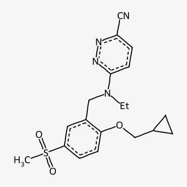 CCN(Cc1cc(S(C)(=O)=O)ccc1OCC1CC1)c1ccc(C#N)nn1